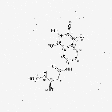 CCn1c(=O)c2cc(NC(=O)C[C@H](NC(=O)O)C(C)C)ccc2n(CC)c1=O